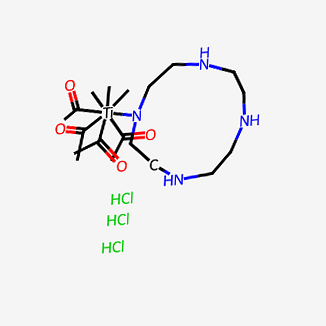 C[C](=O)[Ti]([CH3])([CH3])([CH3])([C](C)=O)([C](C)=O)([C](C)=O)[N]1CCNCCNCCNCC1.Cl.Cl.Cl